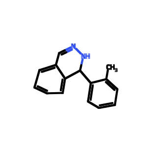 Cc1ccccc1C1NN=Cc2ccccc21